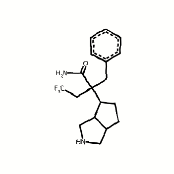 NC(=O)C(Cc1ccccc1)(CC(F)(F)F)C1CCC2CNCC21